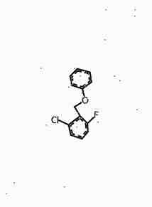 Fc1cccc(Cl)c1COc1cc[c]cc1